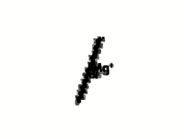 CCCCCCCCCCCCC([CH2][Mg+])CCCCCCCCCC.[Br-]